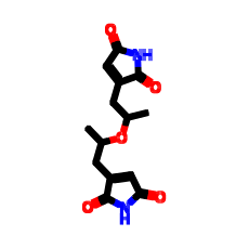 CC(CC1=CC(=O)NC1=O)OC(C)CC1=CC(=O)NC1=O